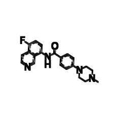 CN1CCN(c2ccc(C(=O)Nc3ccc(F)c4ccncc34)cc2)CC1